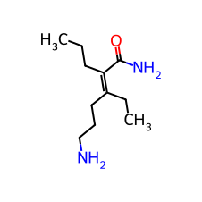 CCCC(C(N)=O)=C(CC)CCCN